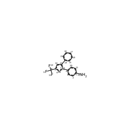 Nc1ccc(-n2nc(C(F)(F)F)cc2-c2ccccc2)cc1